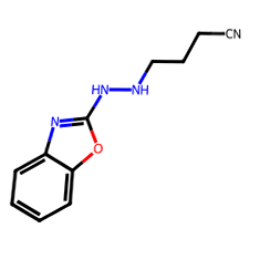 N#CCCCNNc1nc2ccccc2o1